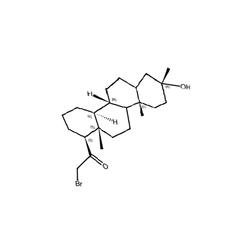 C[C@@]1(O)CC[C@@]2(C)C(CC[C@@H]3C2CC[C@]2(C)[C@@H](C(=O)CBr)CCC[C@@H]32)C1